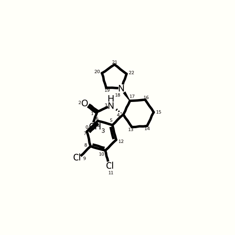 CC(=O)N[C@@]1(c2ccc(Cl)c(Cl)c2)CCCC[C@@H]1N1CCCC1